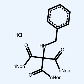 CCCCCCCCCC(=O)C(NCc1ccccc1)(C(=O)CCCCCCCCC)C(=O)CCCCCCCCC.Cl